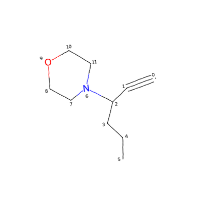 [C]#CC(CCC)N1CCOCC1